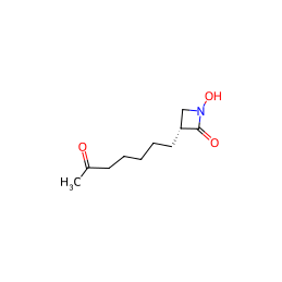 CC(=O)CCCCC[C@@H]1CN(O)C1=O